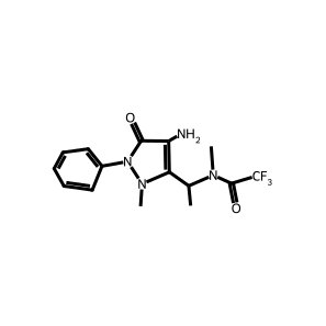 CC(c1c(N)c(=O)n(-c2ccccc2)n1C)N(C)C(=O)C(F)(F)F